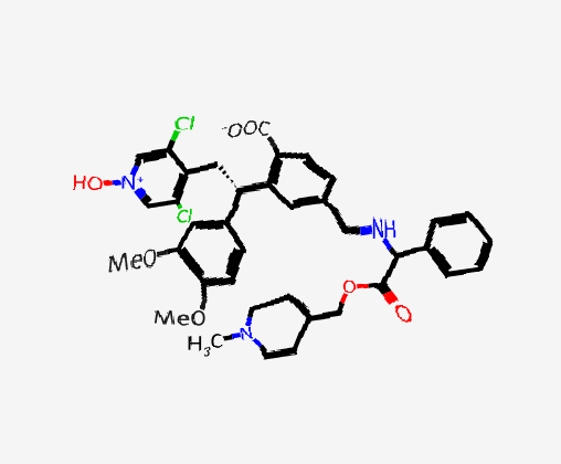 COc1ccc([C@H](Cc2c(Cl)c[n+](O)cc2Cl)c2cc(CNC(C(=O)OCC3CCN(C)CC3)c3ccccc3)ccc2C(=O)[O-])cc1OC